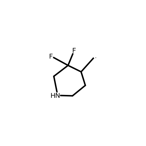 [CH2]C1CCNCC1(F)F